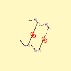 CCCCC/C=C\C/C=C\CCCCCCCCOC(=O)CCCCCCC/C=C\C/C=C\CCCCC.CCCCC/C=C\C/C=C\CCCCCCCCOC(=O)CCCCCCC/C=C\C/C=C\CCCCC